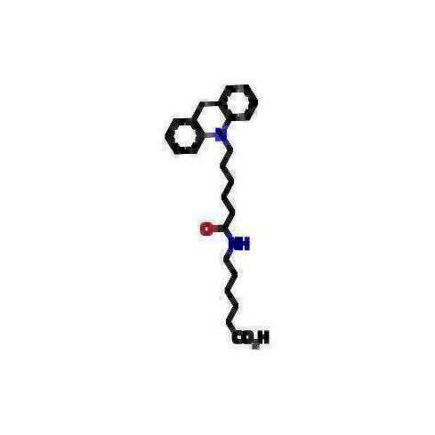 O=C(O)CCCCCNC(=O)CCCCCN1c2ccccc2Cc2ccccc21